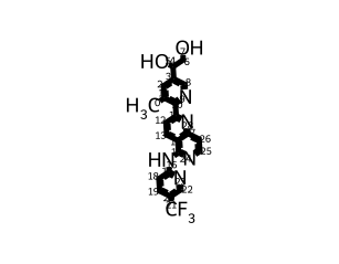 Cc1cc(C(O)CO)cnc1-c1ccc2c(Nc3ccc(C(F)(F)F)cn3)nccc2n1